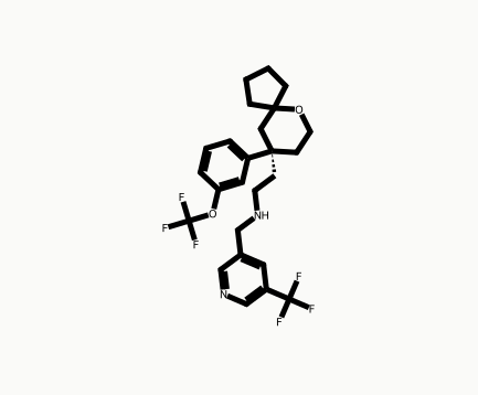 FC(F)(F)Oc1cccc([C@]2(CCNCc3cncc(C(F)(F)F)c3)CCOC3(CCCC3)C2)c1